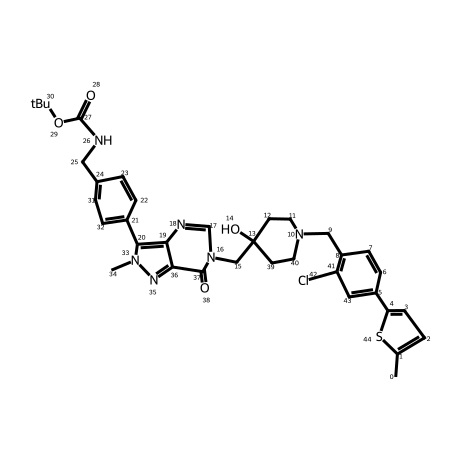 Cc1ccc(-c2ccc(CN3CCC(O)(Cn4cnc5c(-c6ccc(CNC(=O)OC(C)(C)C)cc6)n(C)nc5c4=O)CC3)c(Cl)c2)s1